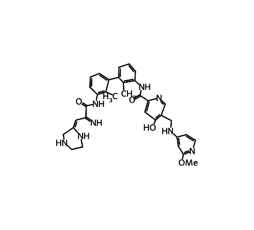 COc1cc(NCc2cnc(C(=O)Nc3cccc(-c4cccc(NC(=O)C(=N)/C=C5/CNCCN5)c4C)c3C)cc2O)ccn1